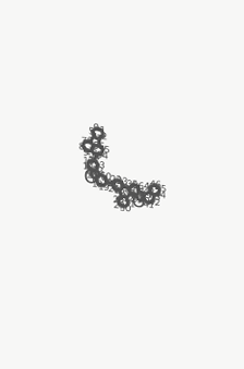 c1ccc2c(c1)-c1cccc3c(-c4ccc5oc6ccc(-c7ccc8c(c7)c7ccccc7c7c8ccc8c7oc7ccc9ccccc9c78)cc6c5c4)ccc-2c13